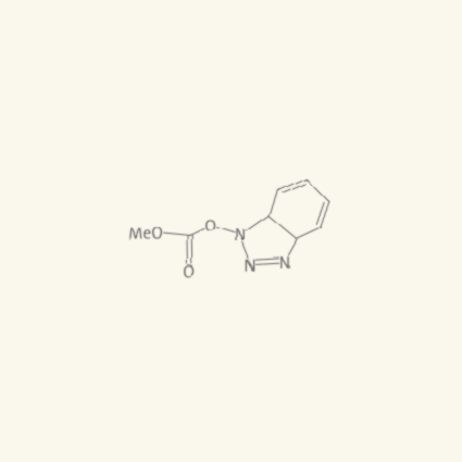 COC(=O)ON1N=NC2C=CC=CC21